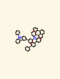 c1ccc(-c2ccc(-c3ccccc3N(c3cccc(-c4ccc5c(c4)c4ccccc4n5-c4ccccc4)c3)c3ccccc3-c3cccc4cccc(-c5ccccc5)c34)cc2)cc1